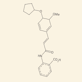 COC1C=C(/C=C/C(=O)Nc2ccccc2C(=O)O)C=CC1OC1CCCC1